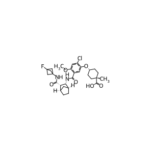 COc1cc(Cl)c(O[C@H]2CC[C@@](C)(C(=O)O)CC2)cc1C(=O)N[C@@H]1[C@H]2CC[C@H](C2)[C@@H]1C(=O)NC12CC(F)(C1)C2